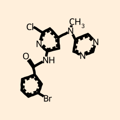 CN(c1cncnc1)c1cc(Cl)nc(NC(=O)c2cccc(Br)c2)c1